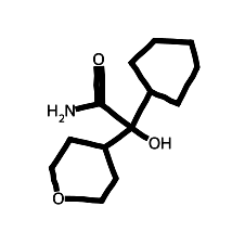 NC(=O)C(O)(C1CCCCC1)C1CCOCC1